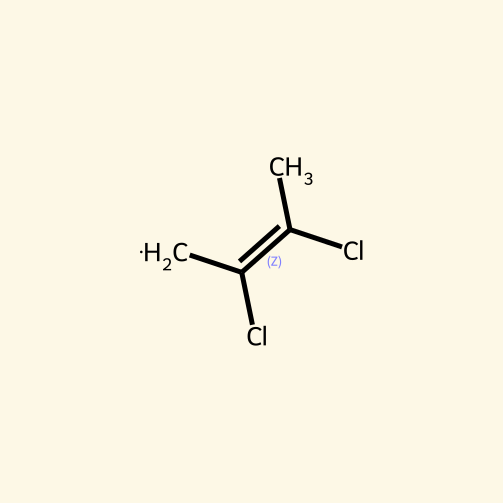 [CH2]/C(Cl)=C(\C)Cl